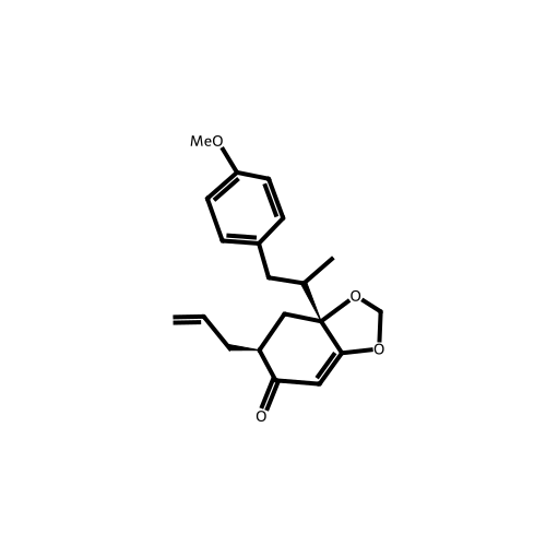 C=CC[C@H]1C[C@]2(C(C)Cc3ccc(OC)cc3)OCOC2=CC1=O